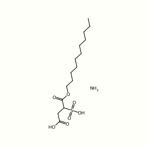 CCCCCCCCCCCOC(=O)C(CC(=O)O)S(=O)(=O)O.N